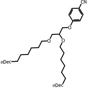 CCCCCCCCCCCCCCCCOCC(COc1ccc(C#N)cc1)OCCCCCCCCCCCCCCCC